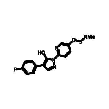 CNSOc1ccc(-n2ncc(-c3ccc(F)cc3)c2O)nc1